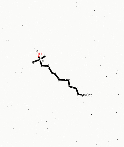 CCCCCCCCCCCCCCCCC[Si](C)(C)O